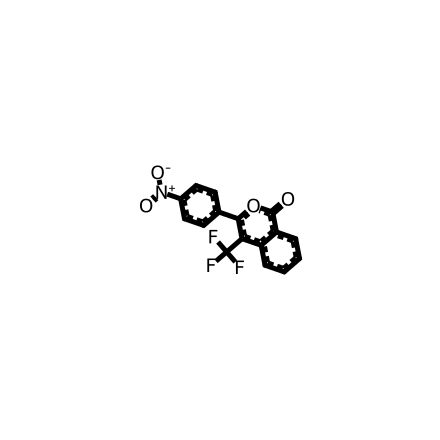 O=c1oc(-c2ccc([N+](=O)[O-])cc2)c(C(F)(F)F)c2ccccc12